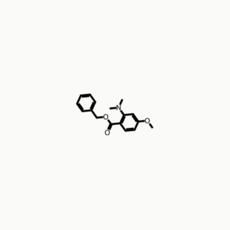 COc1ccc(C(=O)OCc2ccccc2)c(N(C)C)c1